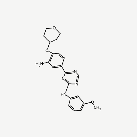 COc1cccc(Nc2ncnc(-c3ccc(OC4CCOCC4)c(N)c3)n2)c1